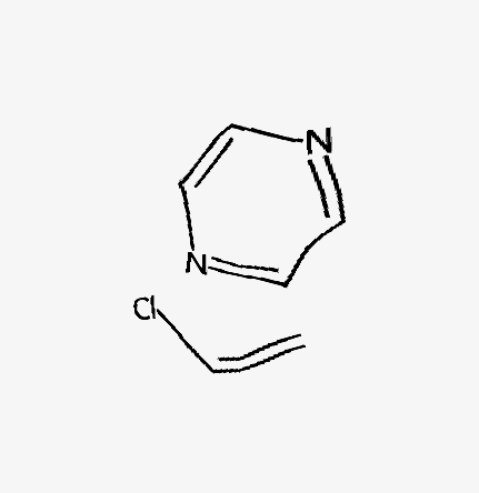 C=CCl.c1cnccn1